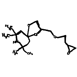 CC1(C)CC2(CC(C)(C)N1)OCC(COCC1CO1)O2